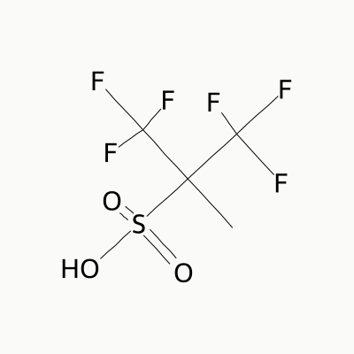 CC(C(F)(F)F)(C(F)(F)F)S(=O)(=O)O